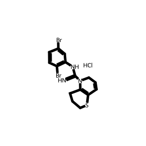 Cl.N=C(Nc1cc(Br)ccc1Br)N1CC=CC2=C1CCCS2